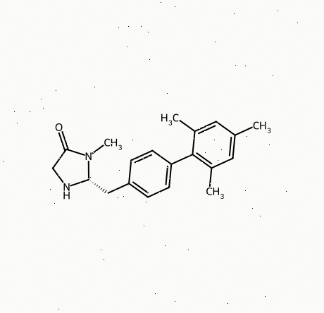 Cc1cc(C)c(-c2ccc(C[C@@H]3NCC(=O)N3C)cc2)c(C)c1